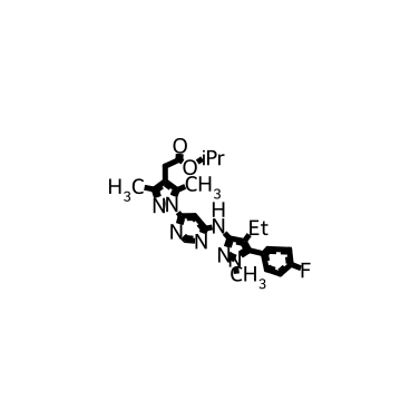 CCc1c(Nc2cc(-n3nc(C)c(CC(=O)OC(C)C)c3C)ncn2)nn(C)c1-c1ccc(F)cc1